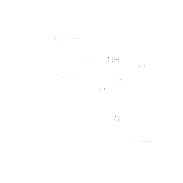 Cc1ccc(NS(=O)(=O)c2ncccc2C)cc1